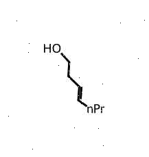 CCCC=CCCO